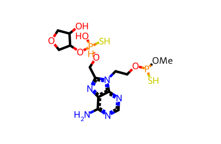 COP(S)OCCn1c(CO[PH](O)(S)OC2COCC2O)nc2c(N)ncnc21